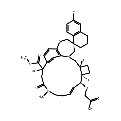 COC(=O)[C@@]1(O)CC(=O)N(C)CC/C=C/[C@H](OCC(=O)O)[C@@H]2CC[C@H]2CN2C[C@@]3(CCCc4cc(Cl)ccc43)COc3ccc1cc32